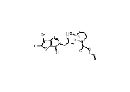 C=CCOC(=O)N1CCC[C@H](O)[C@H]1CC(=O)Cn1cnc2c(Br)c(Cl)sc2c1=O